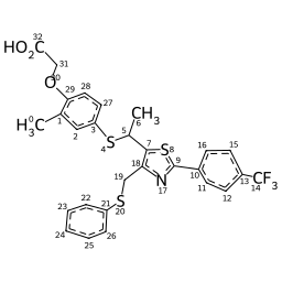 Cc1cc(SC(C)c2sc(-c3ccc(C(F)(F)F)cc3)nc2CSc2ccccc2)ccc1OCC(=O)O